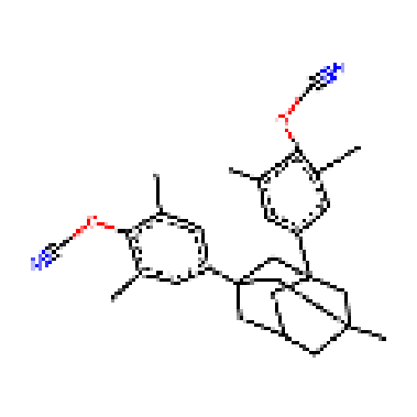 Cc1cc(C23CC4CC(C)(C2)CC(c2cc(C)c(OC#N)c(C)c2)(C4)C3)cc(C)c1OC#N